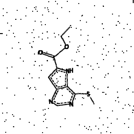 CCOC(=O)c1cc2ncnc(SC)c2[nH]1